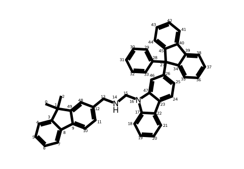 CC1(C)c2ccccc2-c2ccc(CNCn3c4ccccc4c4ccc(C5(c6ccccc6)c6ccccc6-c6ccccc65)cc43)cc21